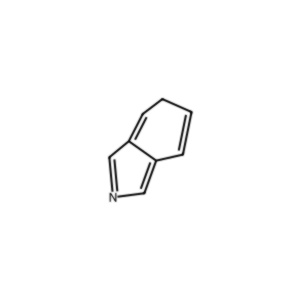 C1=CC2=CN=CC2=CC1